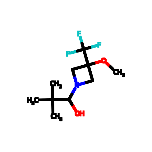 COC1(C(F)(F)F)CN(C(O)C(C)(C)C)C1